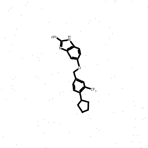 CCCc1nc2cc(OCc3ccc(C4CCCC4)c(C(F)(F)F)c3)ccc2[nH]1